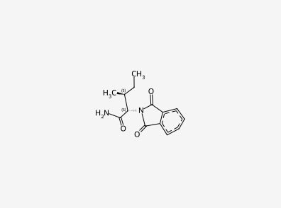 CC[C@H](C)[C@@H](C(N)=O)N1C(=O)c2ccccc2C1=O